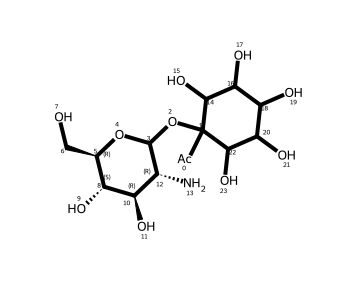 CC(=O)C1(OC2O[C@H](CO)[C@@H](O)[C@H](O)[C@H]2N)C(O)C(O)C(O)C(O)C1O